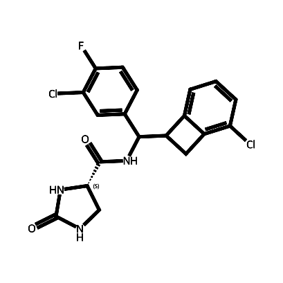 O=C1NC[C@@H](C(=O)NC(c2ccc(F)c(Cl)c2)C2Cc3c(Cl)cccc32)N1